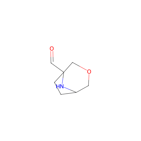 O=CC12CCC(COC1)N2